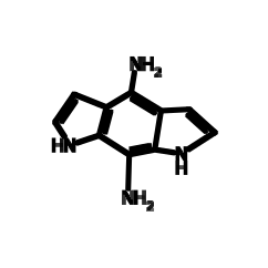 Nc1c2cc[nH]c2c(N)c2[nH]ccc12